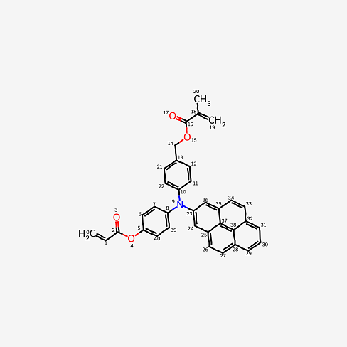 C=CC(=O)Oc1ccc(N(c2ccc(COC(=O)C(=C)C)cc2)c2cc3ccc4cccc5ccc(c2)c3c45)cc1